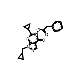 O=C(Cc1ccccc1)Nn1c(C2CC2)nc2c(cnn2CC2CC2)c1=O